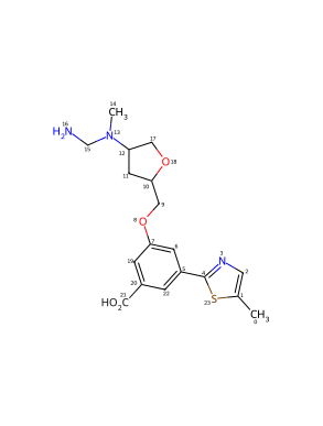 Cc1cnc(-c2cc(OCC3CC(N(C)CN)CO3)cc(C(=O)O)c2)s1